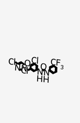 O=C(Nc1cccc(C(F)(F)F)c1)Nc1cc(Cl)c(Oc2cc(Cl)ncn2)c(Cl)c1